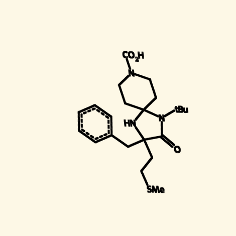 CSCCC1(Cc2ccccc2)NC2(CCN(C(=O)O)CC2)N(C(C)(C)C)C1=O